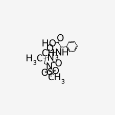 CC1(C)CN(S(C)(=O)=O)C(=O)N1C(=O)NC(C(=O)O)c1ccccc1